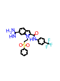 N=C(N)c1ccc2cc(C(=O)Nc3ccc(C(F)(F)F)cc3)n(CCS(=O)(=O)c3ccccc3)c2c1